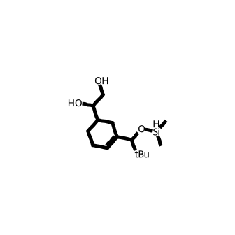 C[SiH](C)OC(C1=CCCC(C(O)CO)C1)C(C)(C)C